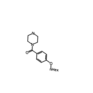 CCCCCCOc1ccc(C(=O)N2CC[N]CC2)cc1